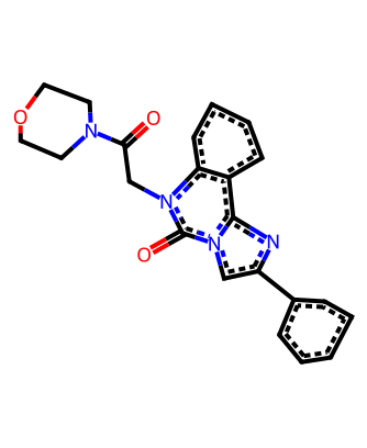 O=C(Cn1c(=O)n2cc(-c3ccccc3)nc2c2ccccc21)N1CCOCC1